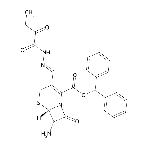 CCC(=O)C(=O)NN=CC1=C(C(=O)OC(c2ccccc2)c2ccccc2)N2C(=O)C(N)[C@@H]2SC1